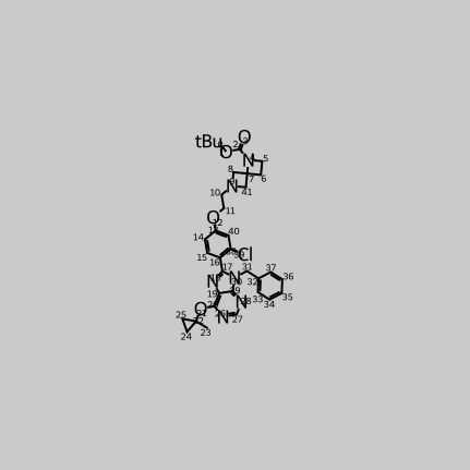 CC(C)(C)OC(=O)N1CCC12CN(CCOc1ccc(-c3nc4c(OC5(C)CC5)ncnc4n3Cc3ccccc3)c(Cl)c1)C2